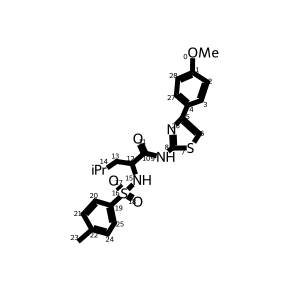 COc1ccc(-c2csc(NC(=O)C(CC(C)C)NS(=O)(=O)c3ccc(C)cc3)n2)cc1